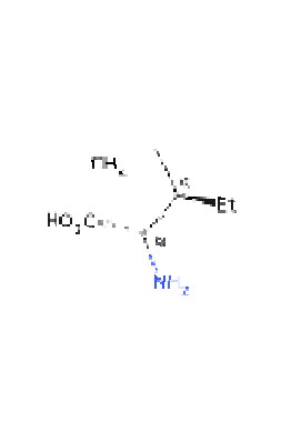 C.CC[C@H](C)[C@H](N)C(=O)O